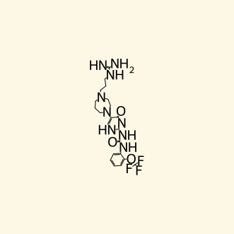 N=C(N)NCCCN1CCCN(c2c[nH]c(NC(=O)Nc3ccccc3OC(F)(F)F)nc2=O)CC1